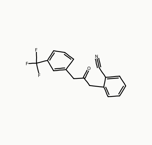 N#Cc1ccccc1CC(=O)Cc1cccc(C(F)(F)F)c1